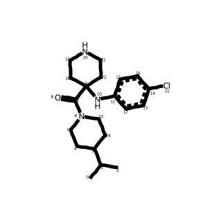 CC(C)C1CCN(C(=O)C2(Nc3ccc(Cl)cc3)CCNCC2)CC1